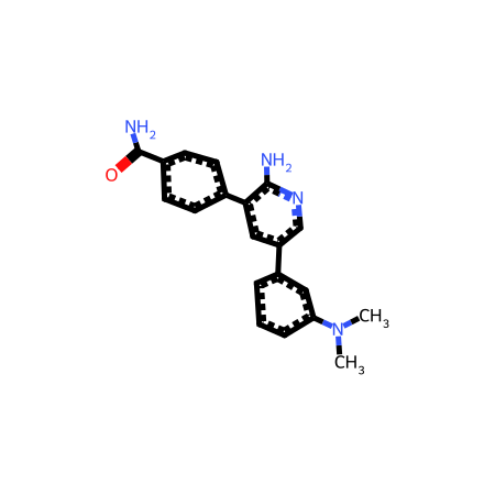 CN(C)c1cccc(-c2cnc(N)c(-c3ccc(C(N)=O)cc3)c2)c1